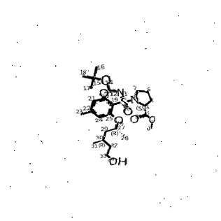 COC(=O)[C@@H]1CCCN1S(=O)(=NC(=O)OC(C)(C)C)c1ccc(C)cc1O[C@H](C)C[C@H](C)CCO